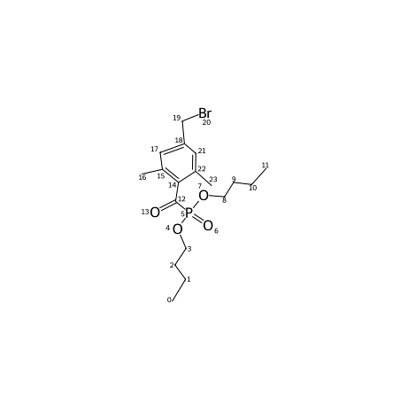 CCCCOP(=O)(OCCCC)C(=O)c1c(C)cc(CBr)cc1C